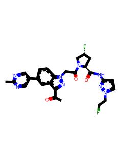 CC(=O)c1nn(CC(=O)N2C[C@H](F)C[C@H]2C(=O)Nc2ccn(CCF)n2)c2ccc(-c3cnc(C)nc3)cc12